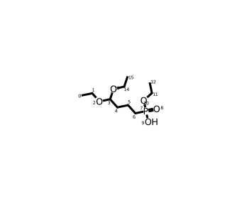 CCOC(CCCP(=O)(O)OCC)OCC